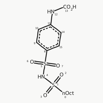 CCCCCCCCS(=O)(=O)NS(=O)(=O)c1ccc(NC(=O)O)cc1